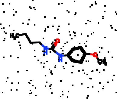 CCCCNC(=O)Nc1ccc(OC)cc1